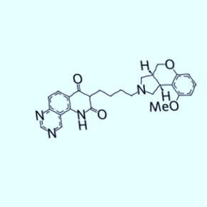 COc1cccc2c1[C@@H]1CN(CCCCC3C(=O)Nc4c(ccc5ncncc45)C3=O)C[C@@H]1CO2